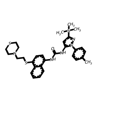 Cc1ccc(-n2nc([Si](C)(C)C)cc2NC(=O)Nc2ccc(SCCN3CCSCC3)c3ccccc23)cc1